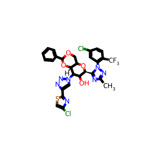 Cc1nc([C@@H]2OC3COC(c4ccccc4)O[C@@H]3C(n3cc(-c4nc(Cl)cs4)nn3)C2O)n(-c2cc(Cl)ccc2C(F)(F)F)n1